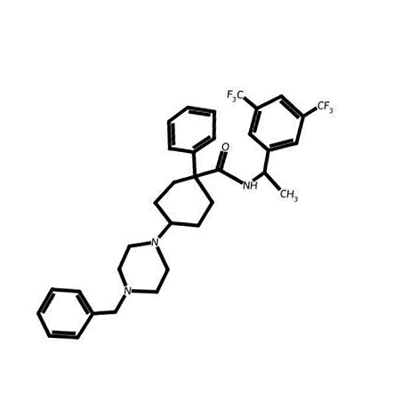 CC(NC(=O)C1(c2ccccc2)CCC(N2CCN(Cc3ccccc3)CC2)CC1)c1cc(C(F)(F)F)cc(C(F)(F)F)c1